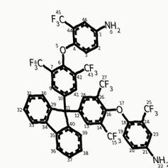 Nc1ccc(Oc2c(C(F)(F)F)cc(C3(c4cc(C(F)(F)F)c(Oc5ccc(N)cc5C(F)(F)F)c(C(F)(F)F)c4)c4ccccc4-c4ccccc43)cc2C(F)(F)F)c(C(F)(F)F)c1